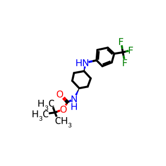 CC(C)(C)OC(=O)N[C@H]1CC[C@@H](Nc2ccc(C(F)(F)F)cc2)CC1